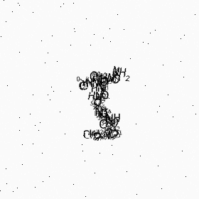 CC(=O)CCC(=O)N[C@H](C(=O)N[C@@H](CCCNC(N)=O)C(=O)Nc1ccc(C[n+]2ccc(NC(=O)C(=O)c3cn(Cc4ccc(Cl)cc4)c4ccccc34)cc2)cc1)C(C)C